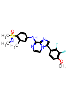 CN=S(C)(=O)c1ccc(Nc2nccn3c(-c4ccc(OC)c(F)c4F)cnc23)cc1C